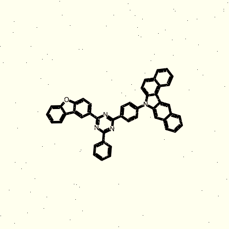 c1ccc(-c2nc(-c3ccc(-n4c5cc6ccccc6cc5c5c6ccccc6ccc54)cc3)nc(-c3ccc4oc5ccccc5c4c3)n2)cc1